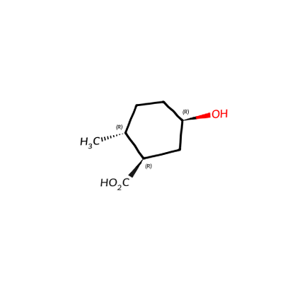 C[C@@H]1CC[C@@H](O)C[C@H]1C(=O)O